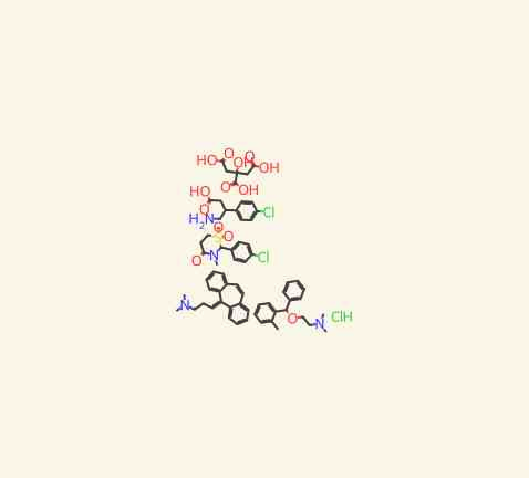 CN(C)CCC=C1c2ccccc2C=Cc2ccccc21.CN1C(=O)CCS(=O)(=O)C1c1ccc(Cl)cc1.Cc1ccccc1C(OCCN(C)C)c1ccccc1.Cl.NCC(CC(=O)O)c1ccc(Cl)cc1.O=C(O)CC(O)(CC(=O)O)C(=O)O